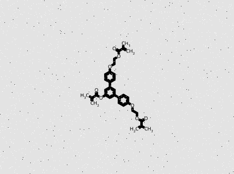 C=C(C)C(=O)OCCOc1ccc(-c2cc(OC(=O)C(=C)C)cc(-c3ccc(OCCOC(=O)C(=C)C)cc3)c2)cc1